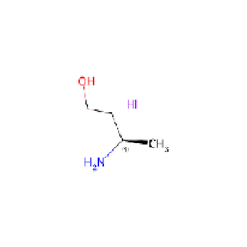 C[C@@H](N)CCO.I